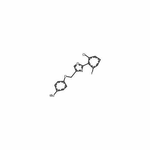 CC(C)(C)c1ccc(OCc2coc(-c3c(F)cccc3Cl)n2)cc1